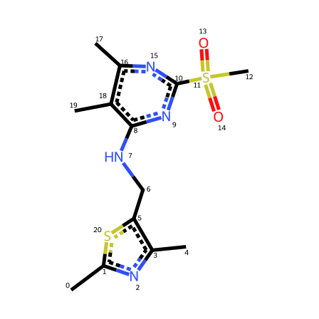 Cc1nc(C)c(CNc2nc(S(C)(=O)=O)nc(C)c2C)s1